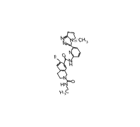 CCNC(=O)N1CCc2cc(F)c(C(=O)Nc3cccc(-c4nnc5n4[C@@H](C)CC5)n3)cc2C1